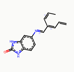 C=C/C=C(\C=C/C)/C=N/c1ccc2[nH]c(=O)[nH]c2c1